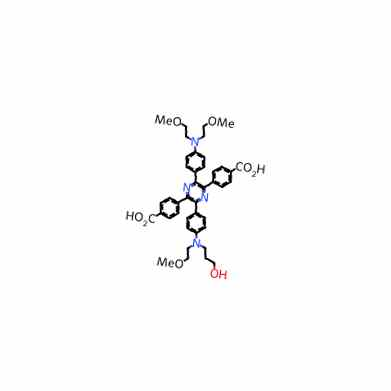 COCCN(CCCO)c1ccc(-c2nc(-c3ccc(C(=O)O)cc3)c(-c3ccc(N(CCOC)CCOC)cc3)nc2-c2ccc(C(=O)O)cc2)cc1